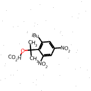 CCC(C)c1cc([N+](=O)[O-])cc([N+](=O)[O-])c1C(C)(C)OC(=O)O